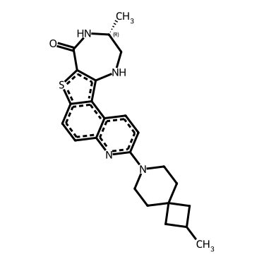 CC1CC2(CCN(c3ccc4c(ccc5sc6c(c54)NC[C@@H](C)NC6=O)n3)CC2)C1